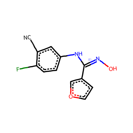 N#Cc1cc(N/C(=N/O)c2ccoc2)ccc1F